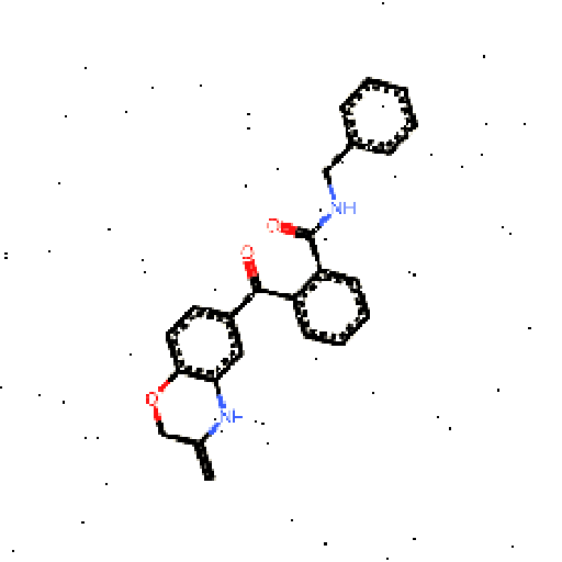 C=C1COc2ccc(C(=O)c3ccccc3C(=O)NCc3ccccc3)cc2N1